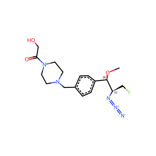 CO[C@H](c1ccc(CN2CCN(C(=O)CO)CC2)cc1)[C@@H](CF)N=[N+]=[N-]